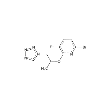 CC(Cn1cnnn1)Oc1nc(Br)ccc1F